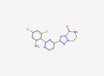 Cc1cc(Cl)cc(Cl)c1-c1nccc(-c2cc3n(n2)CCNC3=O)n1